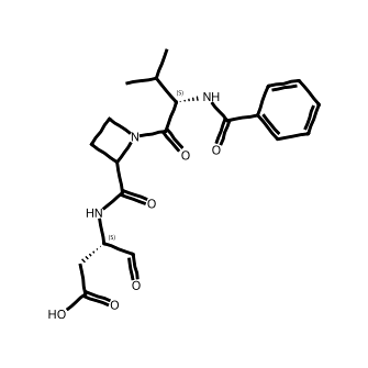 CC(C)[C@H](NC(=O)c1ccccc1)C(=O)N1CCC1C(=O)N[C@H](C=O)CC(=O)O